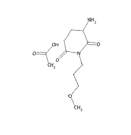 CC(=O)O.COCCCN1C(=O)CCC(N)C1=O